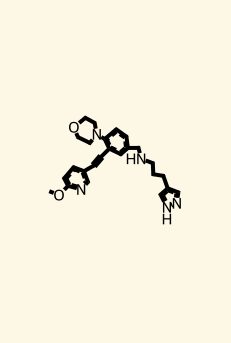 COc1ccc(C#Cc2cc(CNCCCc3cn[nH]c3)ccc2N2CCOCC2)cn1